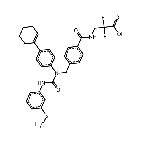 CSc1cccc(NC(=O)N(Cc2ccc(C(=O)NCC(F)(F)C(=O)O)cc2)c2ccc(C3=CCCCC3)cc2)c1